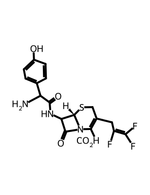 NC(C(=O)NC1C(=O)N2C(C(=O)O)=C(CC(F)=C(F)F)CS[C@@H]12)c1ccc(O)cc1